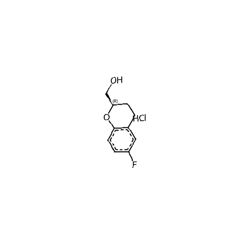 Cl.OC[C@H]1CCc2cc(F)ccc2O1